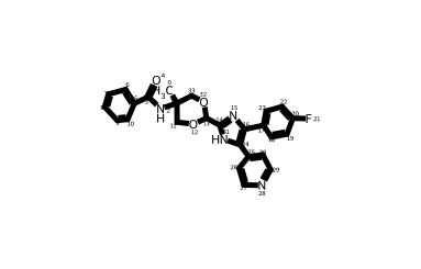 CC1(NC(=O)c2ccccc2)COC(c2nc(-c3ccc(F)cc3)c(-c3ccncc3)[nH]2)OC1